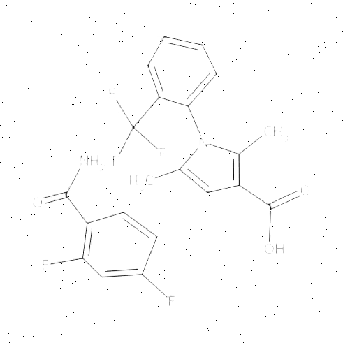 Cc1cc(C(=O)O)c(C)n1-c1ccccc1C(F)(F)F.NC(=O)c1ccc(F)cc1F